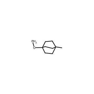 CC12CCC(OP)(CC1)CC2